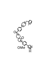 COc1cc(N2CCC3(CCN(C(=O)c4ccc(N5CCN(Cc6cccn6C)CC5)cc4)CC3)C2=O)ccc1-c1cn[nH]c1